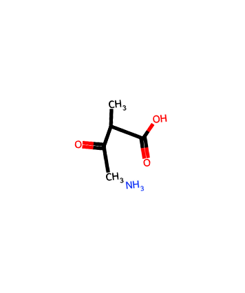 CC(=O)C(C)C(=O)O.N